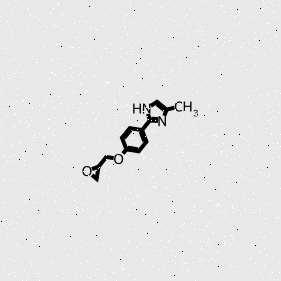 Cc1c[nH]c(-c2ccc(OCC3CO3)cc2)n1